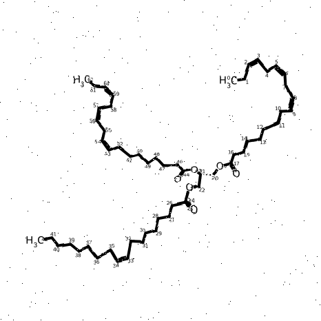 CC/C=C\C/C=C\C/C=C\CCCCCCCC(=O)OC[C@H](COC(=O)CCCCCCC/C=C\CCCCCCCC)OC(=O)CCCCCCC/C=C\C/C=C\C/C=C\CC